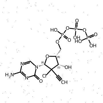 C#CC1(Cl)[C@@H](O)[C@@H](COP(=O)(O)OP(=O)(O)OP(=O)(O)O)O[C@H]1n1cnc(N)nc1=O